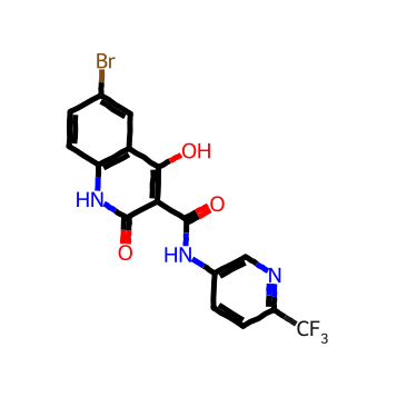 O=C(Nc1ccc(C(F)(F)F)nc1)c1c(O)c2cc(Br)ccc2[nH]c1=O